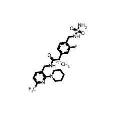 C[C@H](C(=O)NCc1ccc(C(F)(F)F)nc1N1CCCCC1)c1ccc(CNS(N)(=O)=O)c(F)c1